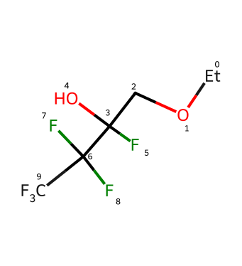 CCOCC(O)(F)C(F)(F)C(F)(F)F